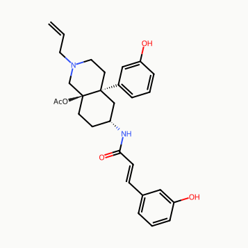 C=CCN1CC[C@@]2(c3cccc(O)c3)C[C@H](NC(=O)C=Cc3cccc(O)c3)CC[C@]2(OC(C)=O)C1